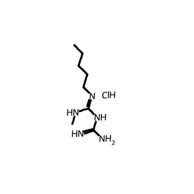 CCCCC/N=C(\NC)NC(=N)N.Cl